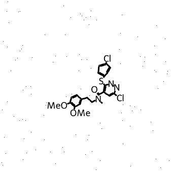 COc1ccc(CCN(C)C(=O)c2cc(Cl)nnc2Sc2ccc(Cl)cc2)cc1OC